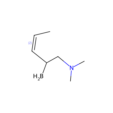 BC(/C=C\C)CN(C)C